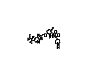 O=C(NC(=O)C1CCNCC1)c1c(F)ccc(OCc2nc3cc(C4(C(F)(F)F)CC4)cnc3s2)c1F